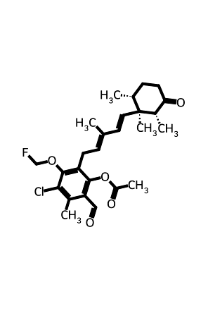 CC(=O)Oc1c(C=O)c(C)c(Cl)c(OCF)c1C/C=C(C)/C=C/[C@@]1(C)[C@H](C)CCC(=O)[C@@H]1C